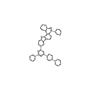 c1ccc(-c2ccc(-c3cc(-c4ccc5sc6c(ccc7c(-c8ccccc8)nc8ccccc8c76)c5c4)nc(-c4ccccc4)n3)cc2)cc1